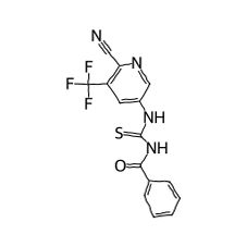 N#Cc1ncc(NC(=S)NC(=O)c2ccccc2)cc1C(F)(F)F